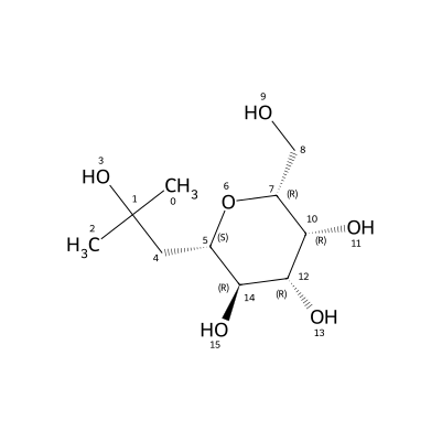 CC(C)(O)C[C@@H]1O[C@H](CO)[C@H](O)[C@H](O)[C@H]1O